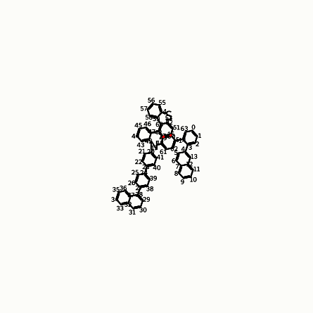 c1ccc(-c2ccc3ccccc3c2)c(-c2ccc(N(c3ccc(-c4ccc(-c5cccc6ccccc56)cc4)cc3)c3ccccc3-c3cccc4sc5ccccc5c34)cc2)c1